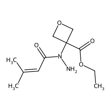 CCOC(=O)C1(N(N)C(=O)C=C(C)C)COC1